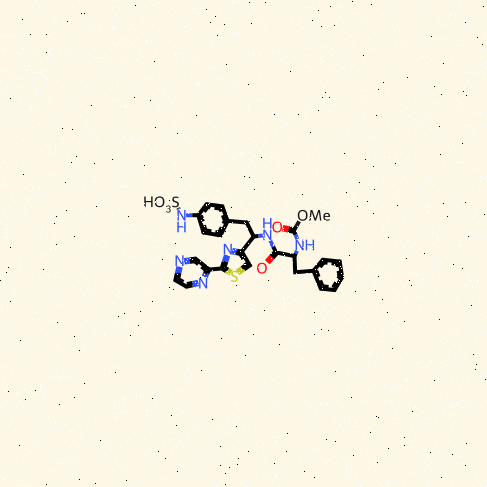 COC(=O)NC(Cc1ccccc1)C(=O)NC(Cc1ccc(NS(=O)(=O)O)cc1)c1csc(-c2cnccn2)n1